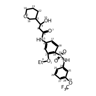 CCOc1cc(NC(=O)CC(O)C2CCCOC2)ccc1S(=O)(=O)Nc1cccc(OC(F)(F)F)c1